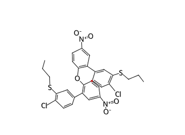 CCCSc1cc(-c2cc([N+](=O)[O-])ccc2Oc2ccc([N+](=O)[O-])cc2-c2ccc(Cl)c(SCCC)c2)ccc1Cl